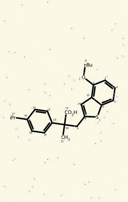 CCCCOc1cccc2sc(CC(C)(C(=O)O)c3ccc(C(C)C)cc3)cc12